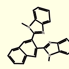 Cn1c(-c2cc3ccccc3cc2-c2nc3ccccc3n2C)nc2ccccc21